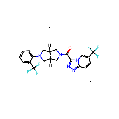 O=C(c1nnc2ccc(C(F)(F)F)cn12)N1C[C@@H]2CN(c3ccccc3C(F)(F)F)C[C@@H]2C1